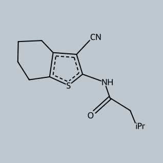 CC(C)CC(=O)Nc1sc2c(c1C#N)CCCC2